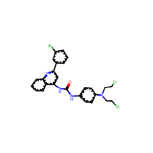 O=C(Nc1ccc(N(CCCl)CCCl)cc1)Nc1cc(-c2cccc(Br)c2)nc2ccccc12